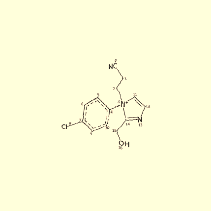 N#CCC[N+]1(c2ccc(Cl)cc2)C=CN=C1CO